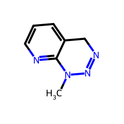 CN1N=NCc2cccnc21